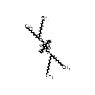 CCCCCCCCCCCCC(CCCCCCCCCC)COCCN1C(=O)C2=C(c3cccs3)N(CCOCC(CCCCCCCCCC)CCCCCCCCCCCC)C(=O)C2=C1c1cccs1